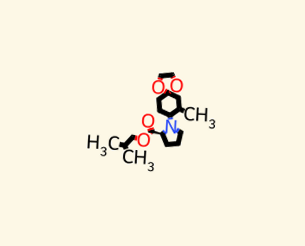 CC(C)COC(=O)[C@@H]1CCCN1C1CCC2(CC1C)OCCO2